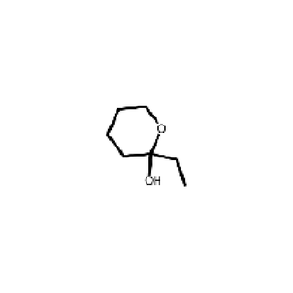 CCC1(O)CCCCO1